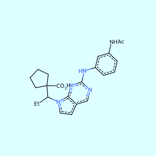 [CH2]CC(n1ccc2cnc(Nc3cccc(NC(C)=O)c3)nc21)C1(C(=O)O)CCCC1